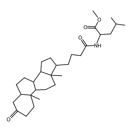 COC(=O)C(CC(C)C)NC(=O)CCCC1CCC2C3CCC4CC(=O)CCC4(C)C3CCC12C